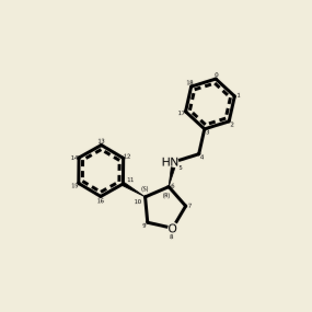 c1ccc(CN[C@H]2COC[C@H]2c2ccccc2)cc1